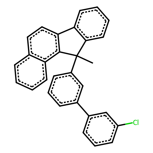 CC1(c2cccc(-c3cccc(Cl)c3)c2)c2ccccc2-c2ccc3ccccc3c21